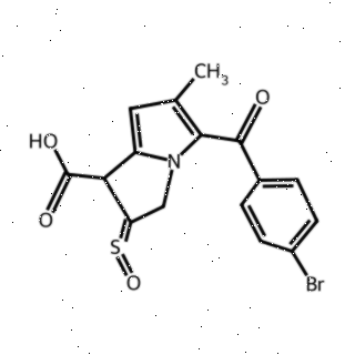 Cc1cc2n(c1C(=O)c1ccc(Br)cc1)CC(=S=O)C2C(=O)O